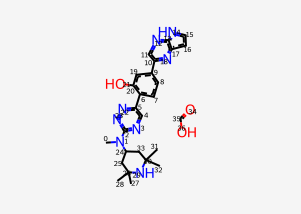 CN(c1ncc(-c2ccc(-c3cnc4[nH]ccc4n3)cc2O)nn1)C1CC(C)(C)NC(C)(C)C1.O=CO